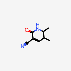 CC1C=C(C#N)C(=O)NC1C